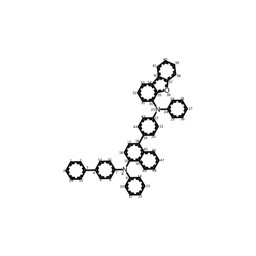 c1ccc(-c2ccc(N(c3ccccc3)c3ccc(-c4ccc(N(c5ccccc5)c5cccc6c5oc5ccccc56)cc4)c4ccccc34)cc2)cc1